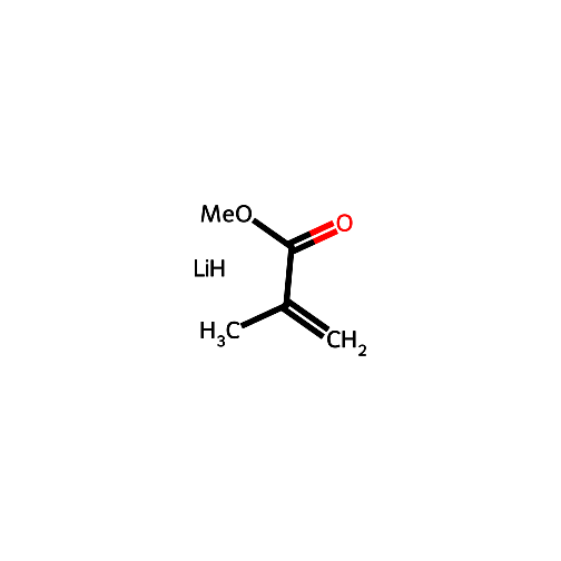 C=C(C)C(=O)OC.[LiH]